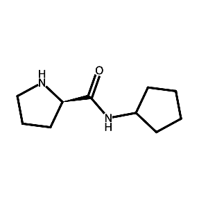 O=C(NC1CCCC1)[C@H]1CCCN1